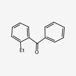 CCc1ccccc1C(=O)c1ccccc1